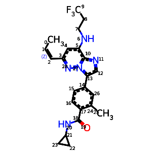 C/C=C\c1cc(NCCC(F)(F)F)c2ncc(-c3ccc(C(=O)NC4CC4)c(C)c3)n2n1